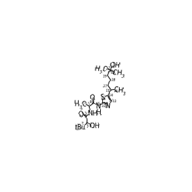 CC(NC(=O)C(O)C(C)(C)C)C(=O)Nc1ncc(C(C)CCCC(C)(C)O)s1